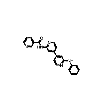 O=C(Nc1cc(-c2ccnc(Nc3ccccc3)c2)ccn1)c1cccnc1